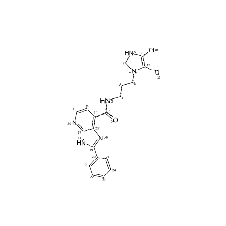 O=C(NCCCN1CNC(Cl)=C1Cl)c1ccnc2[nH]c(-c3ccccc3)nc12